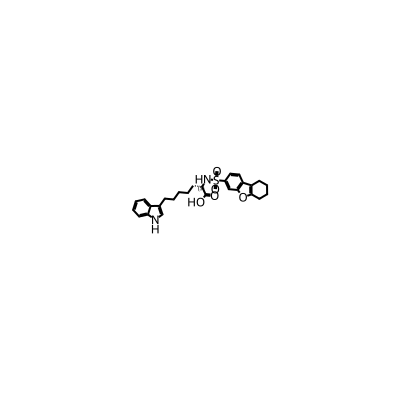 O=C(O)[C@H](CCCCCc1c[nH]c2ccccc12)NS(=O)(=O)c1ccc2c3c(oc2c1)CCCC3